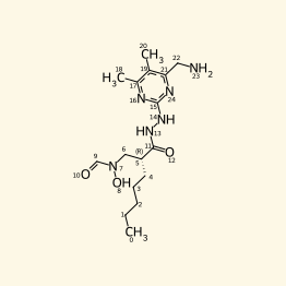 CCCCC[C@H](CN(O)C=O)C(=O)NNc1nc(C)c(C)c(CN)n1